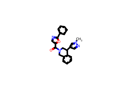 Cn1cc(C2CN(C(=O)c3cnc(-c4ccccc4)o3)Cc3ccccc32)cn1